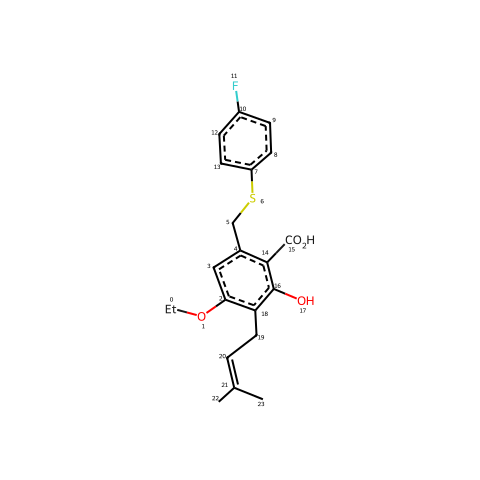 CCOc1cc(CSc2ccc(F)cc2)c(C(=O)O)c(O)c1CC=C(C)C